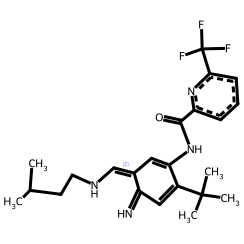 CC(C)CCN/C=C1/C=C(NC(=O)c2cccc(C(F)(F)F)n2)C(C(C)(C)C)=CC1=N